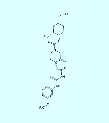 C[C@@H]1C[C@H](CC(=O)O)CC[C@H]1OC(=O)N1CCc2cc(NC(=O)Nc3cccc(OC(F)(F)F)c3)ccc2C1